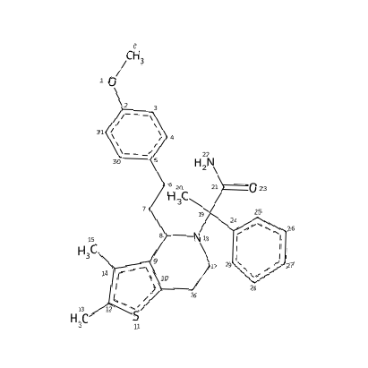 COc1ccc(CCC2c3c(sc(C)c3C)CCN2C(C)(C(N)=O)c2ccccc2)cc1